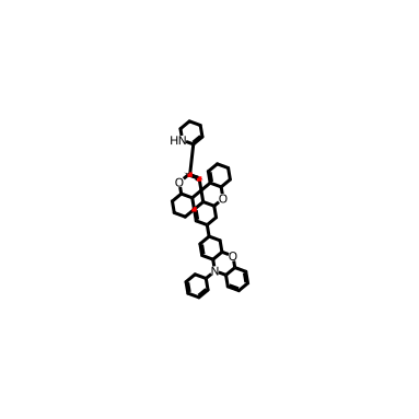 C1=CCC(N2C3C=CC=CC3OC3CC(C4C=CC5C(C4)OC4CCCC=C4C54C5C=CC(C6=CCCCN6)CC5OC5CCCCC54)C=CC32)C=C1